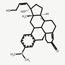 CN(C)c1ccc2c(c1)C[C@]13CCC(=O)C=C1CC[C@@H]1C3C2C[C@@]2(C)[C@H]1CC[C@]2(O)/C=C\CO